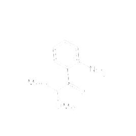 COC(OC)C(=O)c1ccccc1[N+](=O)[O-]